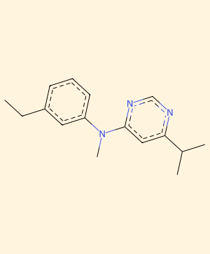 CCc1cccc(N(C)c2cc(C(C)C)ncn2)c1